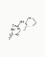 O=[PH](O)OC(Cc1ccccc1)[PH](=O)O